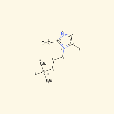 Cc1cnc(C=O)n1CCC[Si](C)(C(C)(C)C)C(C)(C)C